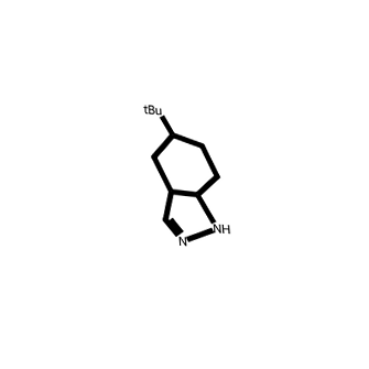 CC(C)(C)C1CCC2NN=CC2C1